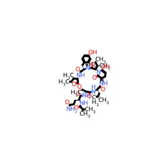 CC[C@H](C)[C@@H]1NC(=O)[C@H](Cc2ccc(O)cc2)N(C)C(=O)[C@H]([C@@H](C)CC)N2C(=O)[C@H](CC=C2O)NC(=O)[C@H](CC(C)C)NC(=O)[C@@H](NC(=O)[C@H](CCC(N)=O)NC(=O)C(C)C)[C@@H](C)OC1=O